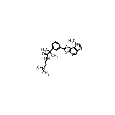 CN(C)CCNC(=O)C(C)(C)c1cccc(-c2nc3c(ncc4ncn(C)c43)s2)c1